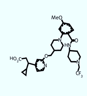 COc1ccc(C(=O)NC2CCN(CC(F)(F)F)CC2)c(N2CCC(COc3cc(C(CC(=O)O)C4CC4)ccn3)CC2)c1